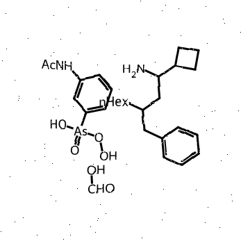 CC(=O)Nc1cccc([As](=O)(O)OO)c1.CCCCCCC(Cc1ccccc1)CC(N)C1CCC1.O=CO